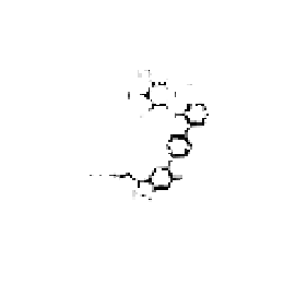 O=C(O)CCc1n[nH]c2cc(Cl)c(-c3ccc(-c4ccccc4OC4OC(C(=O)O)C(O)C(O)C4O)cc3)cc12